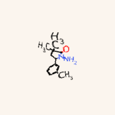 Cc1cccc(C2CC(C)(C)C(=O)N2N)c1